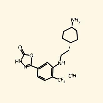 Cl.N[C@H]1CC[C@H](CCNc2cc(-c3n[nH]c(=O)o3)ccc2C(F)(F)F)CC1